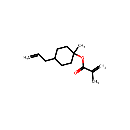 C=CCC1CCC(C)(OC(=O)C(=C)C)CC1